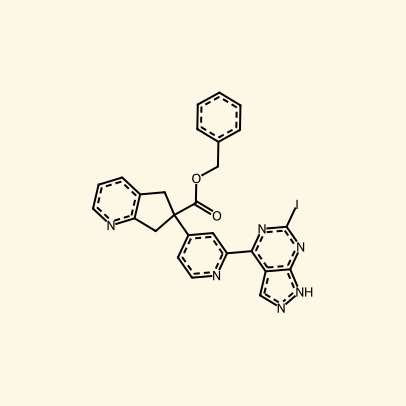 O=C(OCc1ccccc1)C1(c2ccnc(-c3nc(I)nc4[nH]ncc34)c2)Cc2cccnc2C1